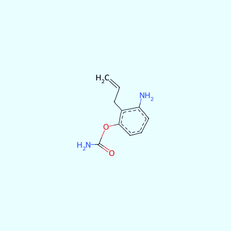 C=CCc1c(N)cccc1OC(N)=O